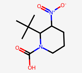 CC(C)(C)C1C([N+](=O)[O-])CCCN1C(=O)O